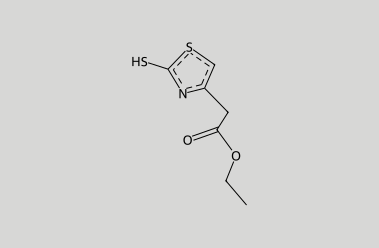 CCOC(=O)Cc1csc(S)n1